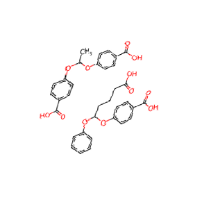 CC(Oc1ccc(C(=O)O)cc1)Oc1ccc(C(=O)O)cc1.O=C(O)CCCC(Oc1ccccc1)Oc1ccc(C(=O)O)cc1